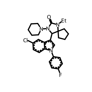 CCN1C(=O)N(N2CCCCC2)C(c2cn(-c3ccc(F)cc3)c3ccc(Cl)cc23)C12CCCC2